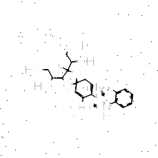 CCCCCCc1ccccc1NS(=O)(=O)C1CCC2(C=C1C(=O)O)OC(C(O)CO)C(CC)(C(O)CO)O2